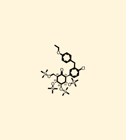 CCOc1ccc(Cc2cc([C@@H]3C(=O)[C@H](CO[Si](C)(C)C)[C@@H](O[Si](C)(C)C)[C@H](O[Si](C)(C)C)[C@H]3O[Si](C)(C)C)ccc2Cl)cc1